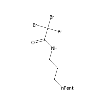 CCCCCCCCNC(=O)C(Br)(Br)Br